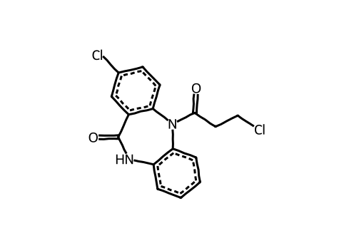 O=C1Nc2ccccc2N(C(=O)CCCl)c2ccc(Cl)cc21